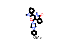 COc1ccc(N2CCN(C(=O)C3c4ccccc4C(=O)N(C)C3c3cn(C)c4ccccc34)CC2)cc1